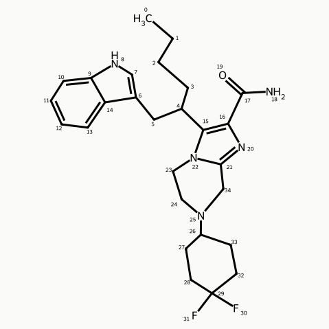 CCCCC(Cc1c[nH]c2ccccc12)c1c(C(N)=O)nc2n1CCN(C1CCC(F)(F)CC1)C2